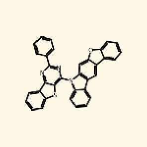 c1ccc(-c2nc(-n3c4ccccc4c4cc5c(cc43)oc3ccccc35)c3sc4ccccc4c3n2)cc1